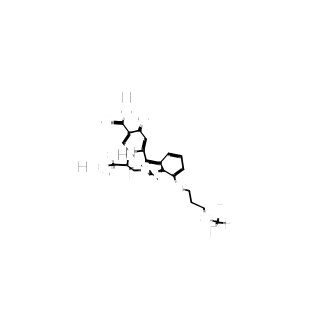 CC(C)(C)C1Cn2nc3c(OCCCOC(F)(F)F)cccc3c2-c2cc(=O)c(C(=O)O)cn21